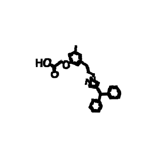 Cc1cc(C=CCn2cc(C(c3ccccc3)c3ccccc3)cn2)cc(OCC(=O)O)c1